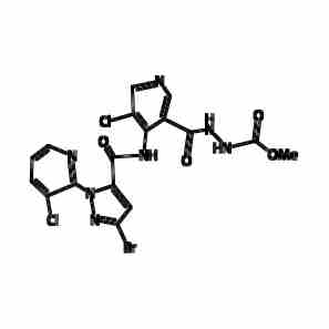 COC(=O)NNC(=O)c1cncc(Cl)c1NC(=O)c1cc(Br)nn1-c1ncccc1Cl